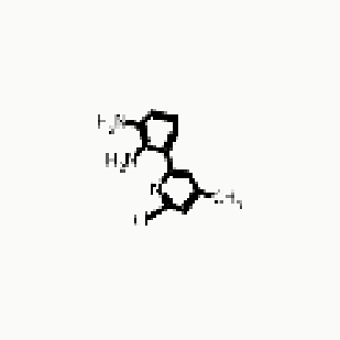 Cc1cc(Cl)nc(-c2cccc(N)c2N)c1